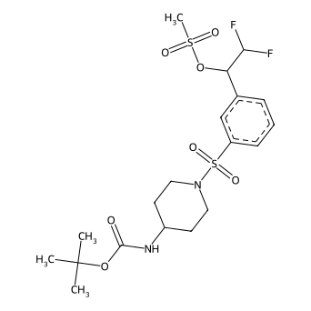 CC(C)(C)OC(=O)NC1CCN(S(=O)(=O)c2cccc(C(OS(C)(=O)=O)C(F)F)c2)CC1